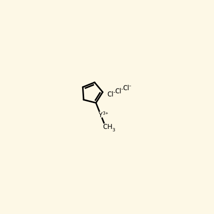 [CH3][Y+3][C]1=CC=CC1.[Cl-].[Cl-].[Cl-]